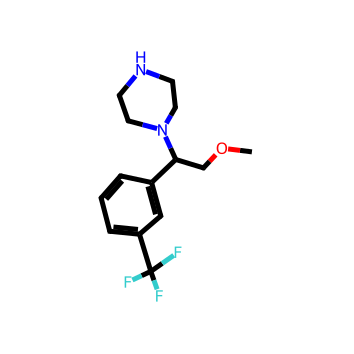 COCC(c1cccc(C(F)(F)F)c1)N1CCNCC1